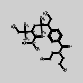 CCC(c1ccc(C(=O)N(CCO)CCO)cc1)C(C)(C)CC(C(=O)N(C)C)C(C)(C)CC